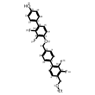 CCOCc1ccc(-c2ccc(COc3ccc(-c4ccc(O)cc4)c(F)c3F)cc2)c(F)c1F